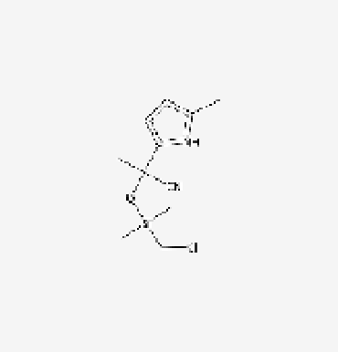 Cc1ccc(C(C)(C#N)O[Si](C)(C)CCl)[nH]1